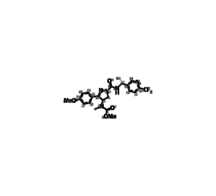 COC(=O)N(C)[C@@H]1CN(C(=O)N[C@H](C)c2ccc(C(F)(F)F)nc2)N=C1c1ccc(OC)cc1